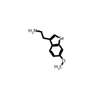 COc1ccc2c(CCN)c[se]c2c1